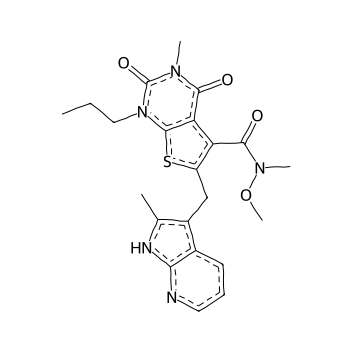 CCCn1c(=O)n(C)c(=O)c2c(C(=O)N(C)OC)c(Cc3c(C)[nH]c4ncccc34)sc21